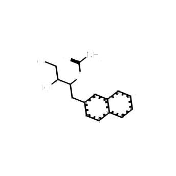 NC(=O)OC(Cc1ccc2ccccc2c1)C(O)CCl